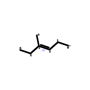 [CH2]C/C=C(\C)CC